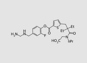 CCCN(CC(=O)O)C(=O)C(CC)(CC)Cc1ccc(C(=O)Oc2ccc(CNCN)cc2F)s1